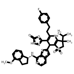 COc1cccc2c1CC[C@H]2Nc1nccc2cc(C3C(c4n[nH]c(=O)o4)=C(CCc4ccc(F)cc4)NC4=C3S(=O)(=O)CC4(C)C(C)C)sc12